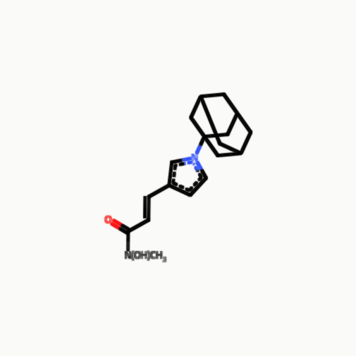 CN(O)C(=O)/C=C/c1ccn(C23CC4CC(CC(C4)C2)C3)c1